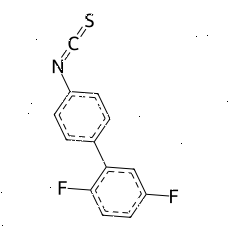 Fc1ccc(F)c(-c2ccc(N=C=S)cc2)c1